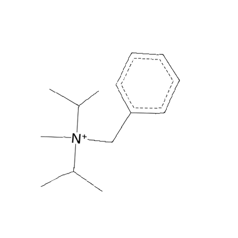 CC(C)[N+](C)(Cc1ccccc1)C(C)C